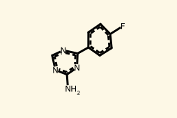 Nc1ncnc(-c2ccc(F)cc2)n1